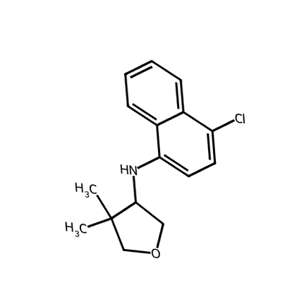 CC1(C)COCC1Nc1ccc(Cl)c2ccccc12